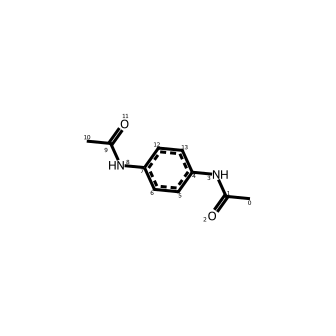 CC(=O)Nc1ccc(NC(C)=O)cc1